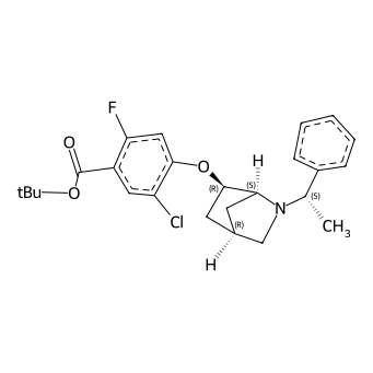 C[C@@H](c1ccccc1)N1C[C@H]2C[C@@H](Oc3cc(F)c(C(=O)OC(C)(C)C)cc3Cl)[C@@H]1C2